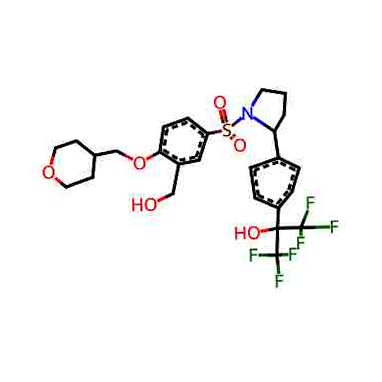 O=S(=O)(c1ccc(OCC2CCOCC2)c(CO)c1)N1CCCC1c1ccc(C(O)(C(F)(F)F)C(F)(F)F)cc1